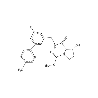 CC(C)(C)OC(=O)N1CC[C@@H](O)[C@H]1C(=O)NCc1cc(F)cc(-c2cnc(C(F)(F)F)cn2)c1